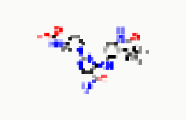 CC1(C)C(=O)Nc2ccc(Nc3nc(N4CCC[C@H](NC(=O)O)C4)ncc3C(N)=O)cc21